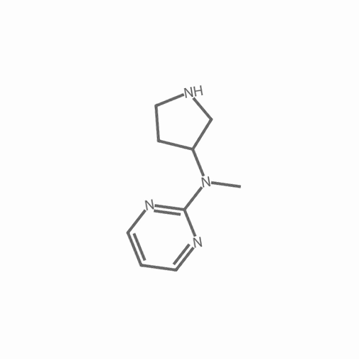 CN(c1ncccn1)C1CCNC1